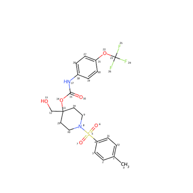 Cc1ccc(S(=O)(=O)N2CCC(CO)(OC(=O)Nc3ccc(OC(F)(F)F)cc3)CC2)cc1